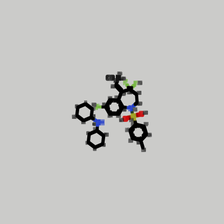 C1CCC(NC2CCCCC2)CC1.Cc1ccc(S(=O)(=O)N2CCC(F)(F)/C(=C\C(=O)O)c3cc(F)ccc32)cc1